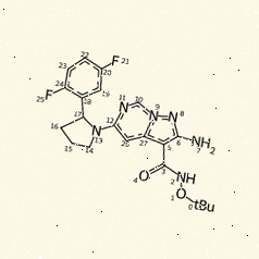 CC(C)(C)ONC(=O)c1c(N)nn2cnc(N3CCCC3c3cc(F)ccc3F)cc12